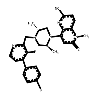 C[C@@H]1CN(c2cc(=O)n(C)c3ccc(C#N)nc23)[C@@H](C)CN1Cc1nccc(-c2ccc(F)cc2)c1F